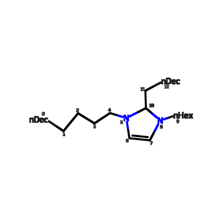 CCCCCCCCCCCCCCN1C=CN(CCCCCC)C1CCCCCCCCCCC